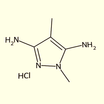 Cc1c(N)nn(C)c1N.Cl